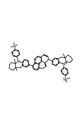 CC12CCCCC1(C)N(c1ccc([Si](C)(C)C)cc1)c1ccc(-c3ccc4c5c6c(ccc35)C=CC(c3ccc5c(c3)CC3(C)CCCCC3(C)N5c3ccc([Si](C)(C)C)cc3)C6=CC4)cc1C2